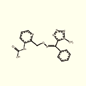 Cn1nnnc1C(=NOCc1ncccc1NC(=O)O)c1ccccc1